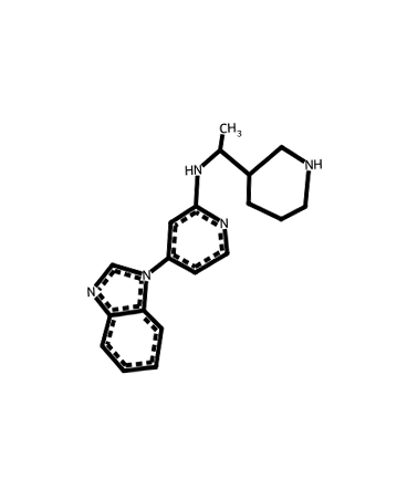 CC(Nc1cc(-n2cnc3ccccc32)ccn1)C1CCCNC1